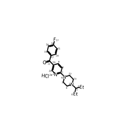 CCC(CC)N1CCN(c2ccc(C(=O)c3ccc(F)cc3)cn2)CC1.Cl